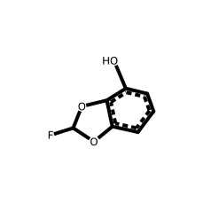 Oc1cccc2c1OC(F)O2